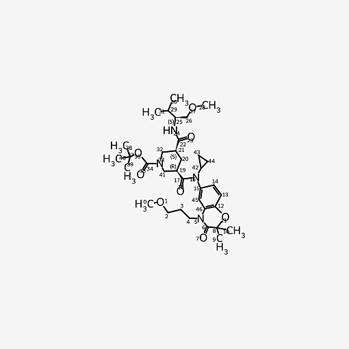 COCCCN1C(=O)C(C)(C)Oc2ccc(N(C(=O)[C@@H]3C[C@H](C(=O)N[C@H](COC)C(C)C)CN(C(=O)OC(C)(C)C)C3)C3CC3)cc21